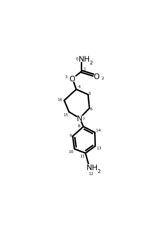 NC(=O)OC1CCN(c2ccc(N)cc2)CC1